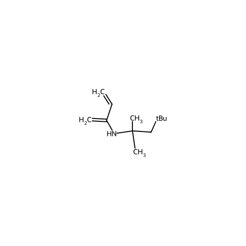 C=CC(=C)NC(C)(C)CC(C)(C)C